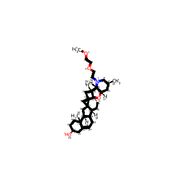 COCCOCCN1C[C@@H](C)C[C@H]2O[C@@]34CC[C@H]5C6CC=C7C[C@@H](O)CC[C@]7(C)[C@H]6CC56CC63C[C@@H]4[C@@H]21